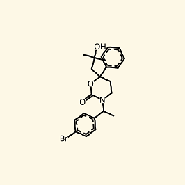 CC(c1ccc(Br)cc1)N1CCC(CC(C)(C)O)(c2ccccc2)OC1=O